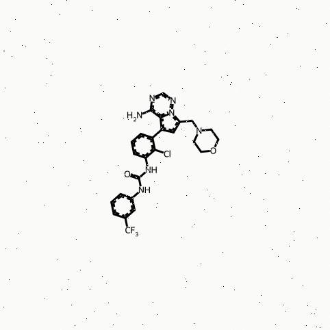 Nc1ncnn2c(CN3CCOCC3)cc(-c3cccc(NC(=O)Nc4cccc(C(F)(F)F)c4)c3Cl)c12